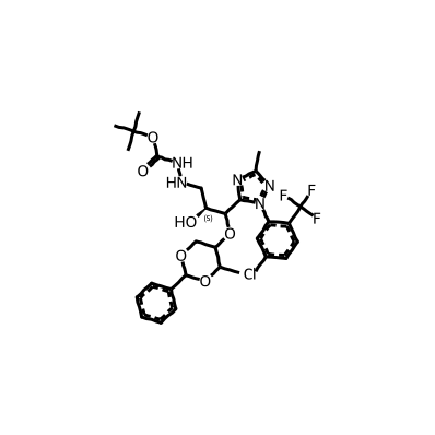 Cc1nc(C(OC2COC(c3ccccc3)OC2C)[C@@H](O)CNNC(=O)OC(C)(C)C)n(-c2cc(Cl)ccc2C(F)(F)F)n1